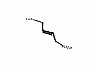 CNCC=CCO